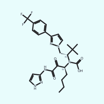 CCCC[C@@H](C(=O)C(=O)Nc1cc[nH]n1)N(C(=O)O)[C@H](Cn1ccc(-c2ccc(C(F)(F)F)cc2)n1)C(C)(C)C